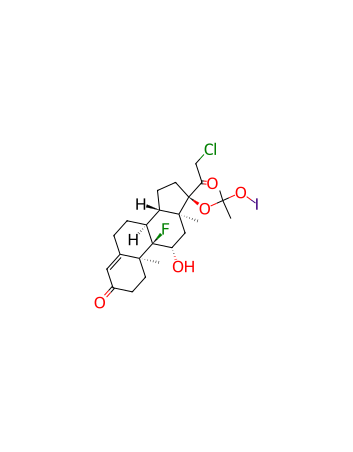 CC(C)(OI)O[C@]1(C(=O)CCl)CC[C@H]2[C@@H]3CCC4=CC(=O)CC[C@]4(C)[C@@]3(F)[C@@H](O)C[C@@]21C